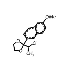 COc1ccc2cc(C3([C@H](C)Cl)OCCO3)ccc2c1